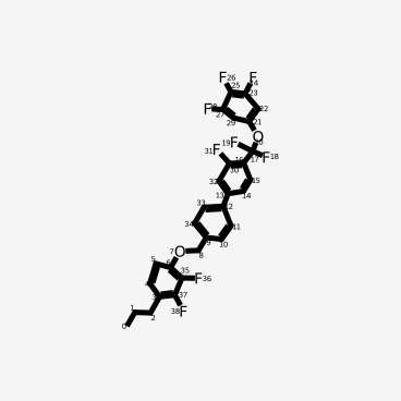 CCCc1ccc(OCc2ccc(-c3ccc(C(F)(F)Oc4cc(F)c(F)c(F)c4)c(F)c3)cc2)c(F)c1F